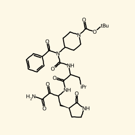 CC(C)CC(NC(=O)N(C(=O)c1ccccc1)C1CCN(C(=O)OC(C)(C)C)CC1)C(=O)NC(C[C@@H]1CCNC1=O)C(=O)C(N)=O